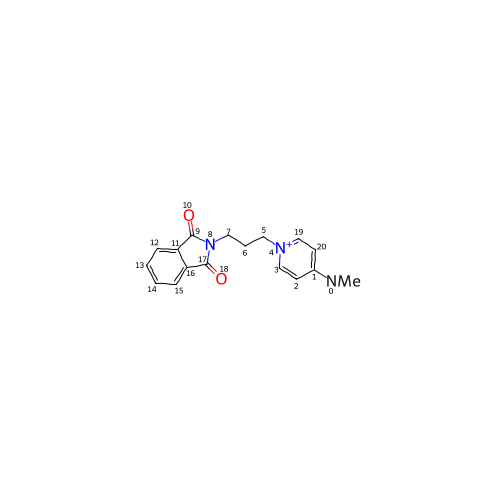 CNc1cc[n+](CCCN2C(=O)c3ccccc3C2=O)cc1